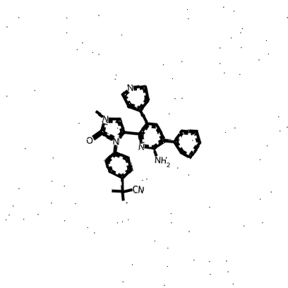 Cn1cc(-c2nc(N)c(-c3ccccc3)cc2-c2ccncc2)n(-c2ccc(C(C)(C)C#N)cc2)c1=O